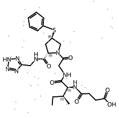 CC[C@H](C)[C@H](NC(=O)CCC(=O)O)C(=O)NCC(=O)N1C[C@H](Sc2ccccc2)C[C@H]1C(=O)NCc1nn[nH]n1